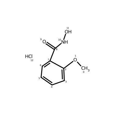 COc1ccccc1C(=O)NO.Cl